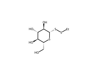 CCSS[C@@H]1S[C@H](CO)[C@@H](O)[C@H](O)[C@H]1O